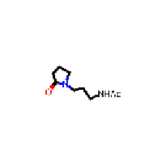 CC(=O)NCCCN1CCCC1=O